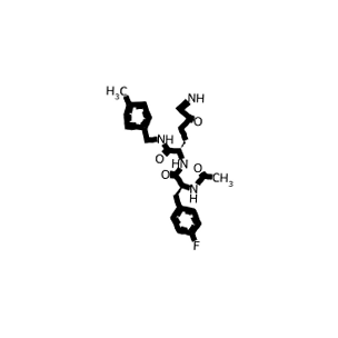 CC(=O)N[C@@H](Cc1ccc(F)cc1)C(=O)N[C@@H](CCC(=O)C=N)C(=O)NCc1ccc(C)cc1